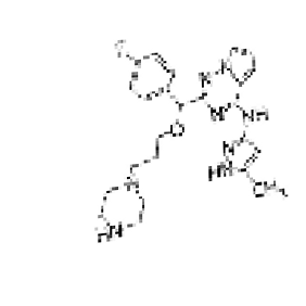 Cc1cc(Nc2nc(C(OCCCN3CCNCC3)c3ccc(F)cc3)nn3cccc23)n[nH]1